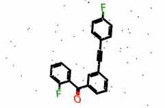 O=C(c1cccc(C#Cc2ccc(F)cc2)c1)c1ccccc1F